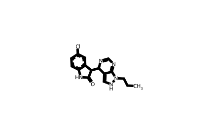 CCCN1NC=C2C1=NC=NC2C1C(=O)Nc2ccc(Cl)cc21